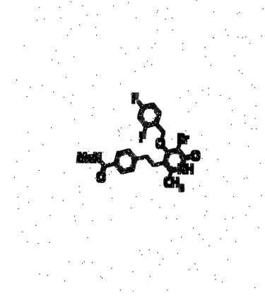 CNC(=O)c1ccc(CCc2c(C)[nH]c(=O)c(Br)c2OCc2ccc(F)cc2F)cc1